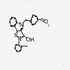 Cc1ccccc1N1N=C2C(=CN(Cc3ccc([N+](=O)[O-])cc3)c3ccccc32)C1O